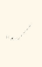 CC/C=C/C/C=C/C/C=C/C/C=C/C/C=C\CCCC(=O)O